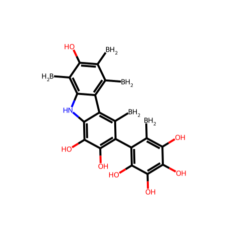 Bc1c(O)c(O)c(O)c(O)c1-c1c(O)c(O)c2[nH]c3c(B)c(O)c(B)c(B)c3c2c1B